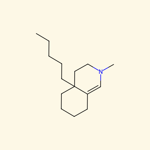 CCCCCC12CCCCC1=CN(C)CC2